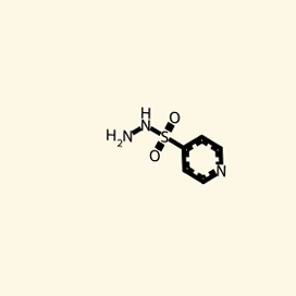 NNS(=O)(=O)c1ccncc1